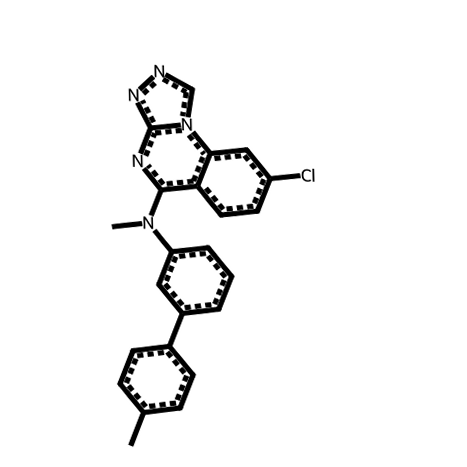 Cc1ccc(-c2cccc(N(C)c3nc4nncn4c4cc(Cl)ccc34)c2)cc1